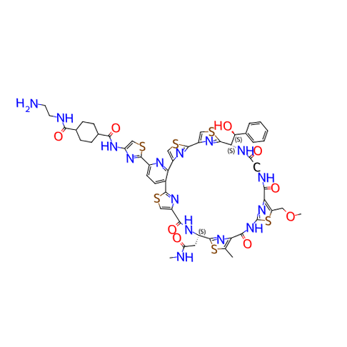 CNC(=O)C[C@@H]1NC(=O)c2csc(n2)-c2ccc(-c3nc(NC(=O)C4CCC(C(=O)NCCN)CC4)cs3)nc2-c2csc(n2)-c2csc(n2)[C@H]([C@@H](O)c2ccccc2)NC(=O)CNC(=O)c2nc(sc2COC)NC(=O)c2nc1sc2C